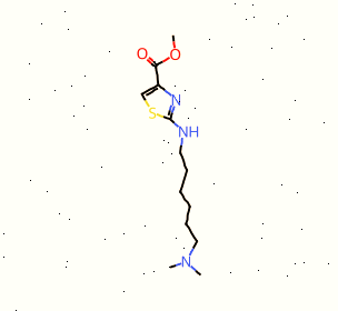 COC(=O)c1csc(NCCCCCCN(C)C)n1